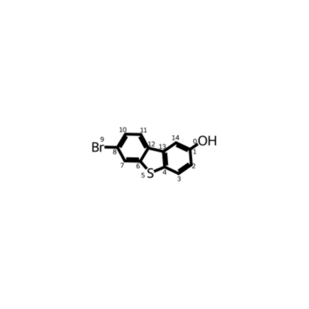 Oc1ccc2sc3cc(Br)ccc3c2c1